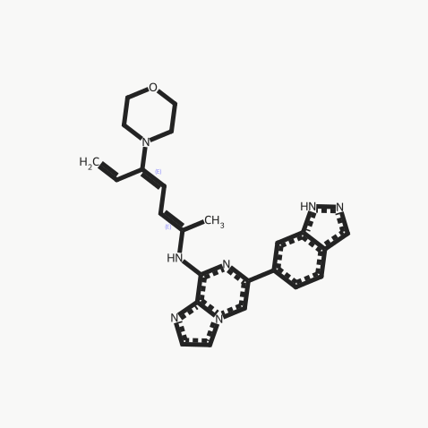 C=C/C(=C\C=C(/C)Nc1nc(-c2ccc3cn[nH]c3c2)cn2ccnc12)N1CCOCC1